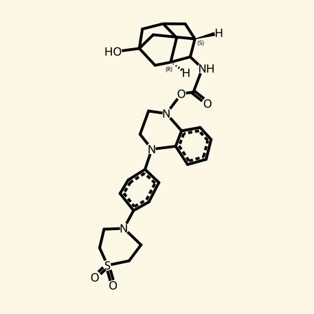 O=C(NC1[C@@H]2CC3C[C@H]1CC(O)(C3)C2)ON1CCN(c2ccc(N3CCS(=O)(=O)CC3)cc2)c2ccccc21